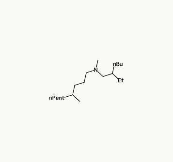 CCCCCC(C)CCCN(C)CC(CC)CCCC